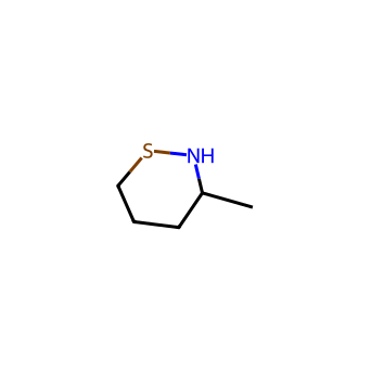 CC1CCCSN1